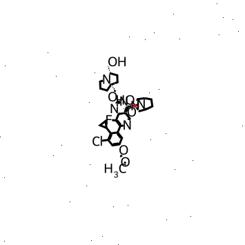 COCOc1cc(Cl)c(C2CC2)c(-c2ncc3c(N4CC5CCC(C4)N5C(=O)O)nc(OC[C@]45CCCN4[C@H](CO)CC5)nc3c2F)c1